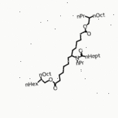 CCCCCCCCC(CCC)COC(=O)CCCCCC(CCCCCCC(=O)OCC(CCCCCC)CCCCCCCC)N(CCC)C(=O)CCCCCCC